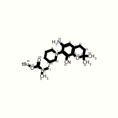 CN(C[C@@H]1CCCN(c2c(N)cc3c(c2C#N)OC(C)(C)CC3)C1)C(=O)OC(C)(C)C